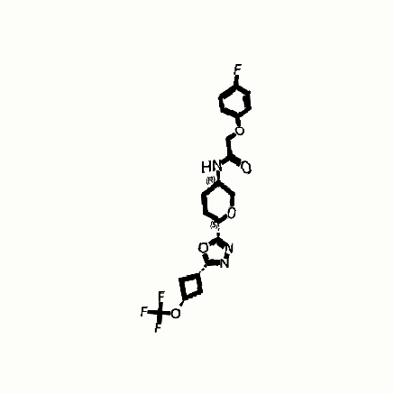 O=C(COc1ccc(F)cc1)N[C@@H]1CC[C@@H](c2nnc([C@H]3C[C@@H](OC(F)(F)F)C3)o2)OC1